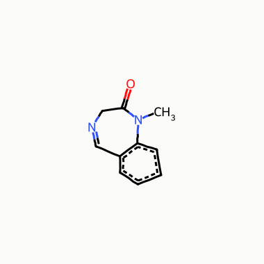 CN1C(=O)CN=Cc2ccccc21